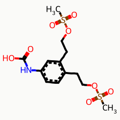 CS(=O)(=O)OCCc1ccc(NC(=O)O)cc1CCOS(C)(=O)=O